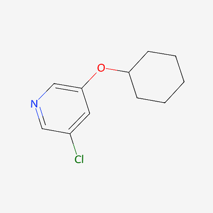 Clc1cncc(OC2CCCCC2)c1